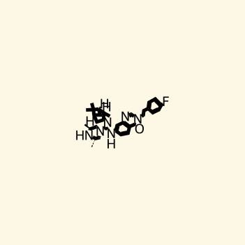 C[C@@H]1C(N=C(Nc2ccc3c(=O)n(CCc4ccc(F)cc4)cnc3c2)N2C[C@H](C)N[C@@H](C)C2)C[C@H]2C[C@@H]1C2(C)C